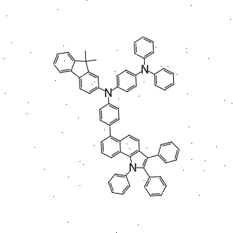 CC1(C)c2ccccc2-c2ccc(N(c3ccc(-c4cccc5c4ccc4c(-c6ccccc6)c(-c6ccccc6)n(-c6ccccc6)c45)cc3)c3ccc(N(c4ccccc4)c4ccccc4)cc3)cc21